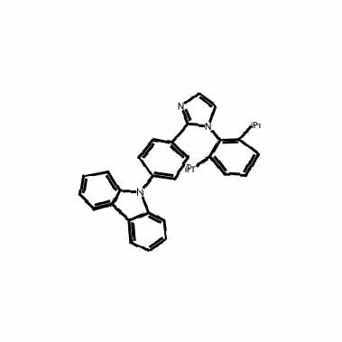 CC(C)c1cccc(C(C)C)c1-n1ccnc1-c1ccc(-n2c3ccccc3c3ccccc32)cc1